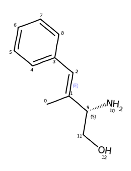 C/C(=C\c1ccccc1)[C@H](N)CO